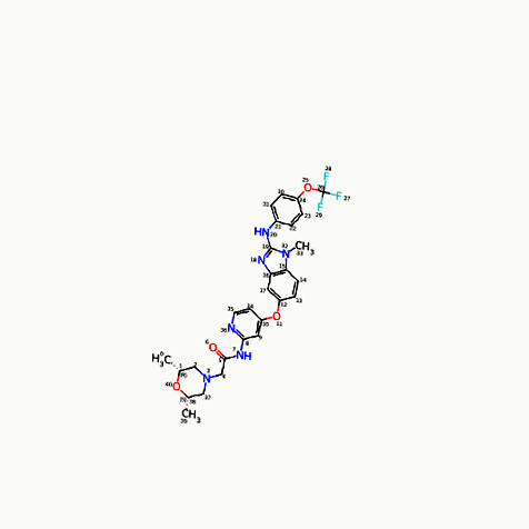 C[C@@H]1CN(CC(=O)Nc2cc(Oc3ccc4c(c3)nc(Nc3ccc(OC(F)(F)F)cc3)n4C)ccn2)C[C@H](C)O1